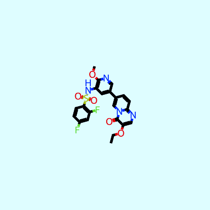 CCOc1cnc2ccc(-c3cnc(OC)c(NS(=O)(=O)c4ccc(F)cc4F)c3)cn2c1=O